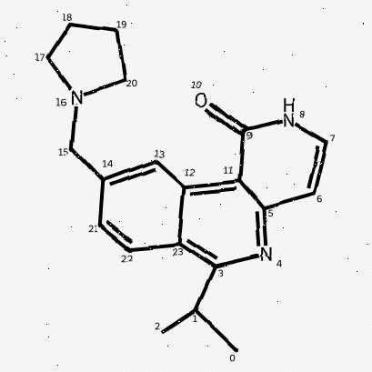 CC(C)c1nc2cc[nH]c(=O)c2c2cc(CN3CCCC3)ccc12